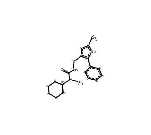 Cc1cc(ONC(=O)C(C)C2CCCCC2)n(-c2ccccc2)n1